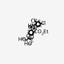 CCOC(=O)C1=CC2(CCC1S(=O)(=O)Nc1ccc(Cl)cc1Cl)O[C@H](CO)[C@@H](CO)O2